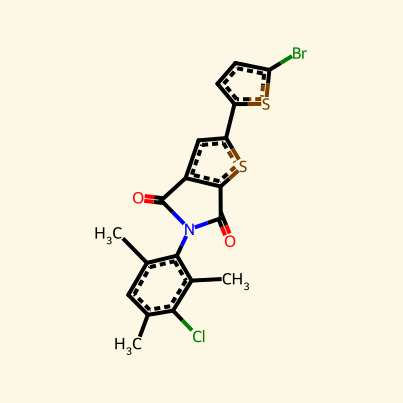 Cc1cc(C)c(N2C(=O)c3cc(-c4ccc(Br)s4)sc3C2=O)c(C)c1Cl